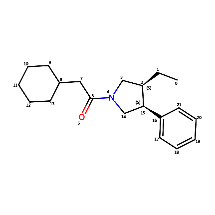 CC[C@@H]1CN(C(=O)CC2CCCCC2)C[C@@H]1c1ccccc1